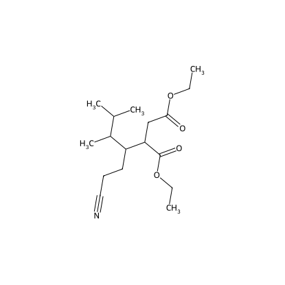 CCOC(=O)CC(C(=O)OCC)C(CCC#N)C(C)C(C)C